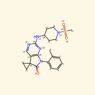 Cc1ccccc1N1C(=O)C2(CC2)c2cnc(NC3CCN(S(C)(=O)=O)CC3)nc21